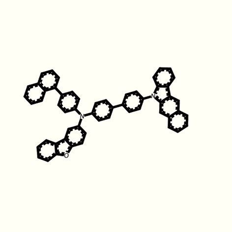 c1ccc2cc3c(cc2c1)c1ccccc1n3-c1ccc(-c2ccc(N(c3ccc(-c4cccc5ccccc45)cc3)c3ccc4oc5ccccc5c4c3)cc2)cc1